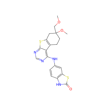 COCC1(OC)CCc2c(sc3ncnc(Nc4ccc5[nH]c(=O)sc5c4)c23)C1